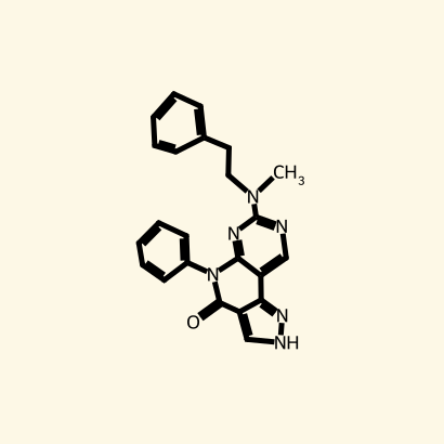 CN(CCc1ccccc1)c1ncc2c3n[nH]cc3c(=O)n(-c3ccccc3)c2n1